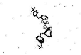 CC(C)(C)c1ccc(Cc2cccnc2OC(=O)Oc2ncccc2Cc2ccc(C(C)(C)C)cc2)cc1